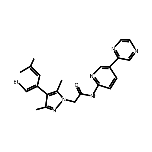 CC/C=C(\C=C(C)C)c1c(C)nn(CC(=O)Nc2ccc(-c3cnccn3)cn2)c1C